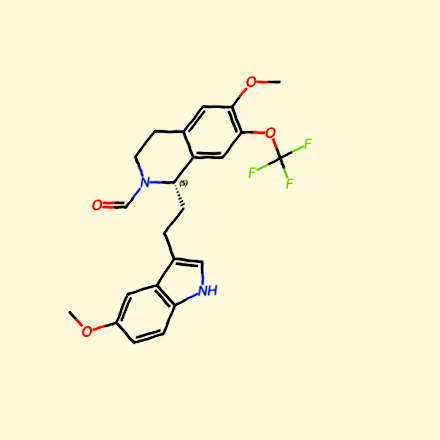 COc1ccc2[nH]cc(CC[C@H]3c4cc(OC(F)(F)F)c(OC)cc4CCN3C=O)c2c1